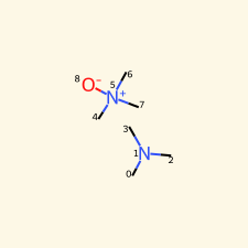 CN(C)C.C[N+](C)(C)[O-]